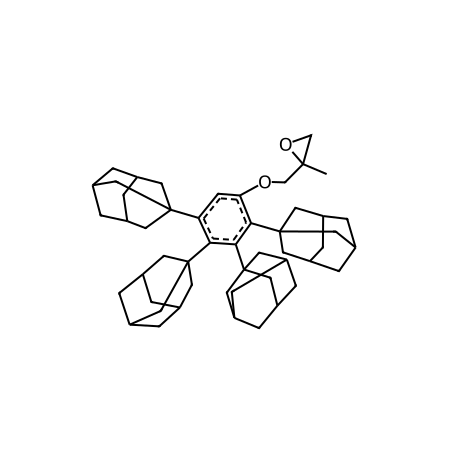 CC1(COc2cc(C34CC5CC(CC(C5)C3)C4)c(C34CC5CC(CC(C5)C3)C4)c(C34CC5CC(CC(C5)C3)C4)c2C23CC4CC(CC(C4)C2)C3)CO1